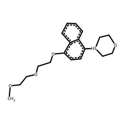 COCCOCCOc1ccc([SH]2CCOCC2)c2ccccc12